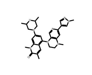 Cc1cc2c(N3CCN(C)c4cc(-c5cnn(C)c5)ncc43)cc(N3CC(C)OC(C)C3)cc2n(C)c1=O